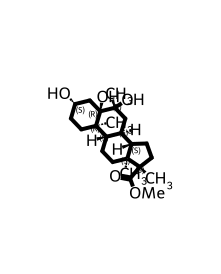 COC(=O)[C@@]1(C)CC[C@H]2[C@@H]3C[C@@](C)(O)[C@@]4(O)C[C@@H](O)CC[C@]4(C)[C@H]3CC[C@@]21C